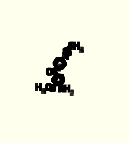 COc1cc(C(=O)N2CCC(N3CC(C)C3)CC2)ccc1N